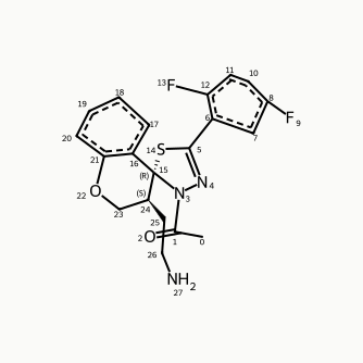 CC(=O)N1N=C(c2cc(F)ccc2F)S[C@]12c1ccccc1OC[C@@H]2CCN